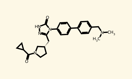 CN(C)Cc1ccc(-c2ccc(-n3c(C[C@@H]4CCN(C(=O)C5CC5)C4)n[nH]c3=O)cc2)cc1